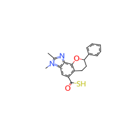 Cc1nc2c3c(c(C(=O)S)cc2n1C)CCC(c1ccccc1)O3